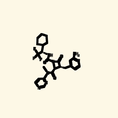 CN(C(=O)[C@@H]1[C@@H](Cc2ccnc(N)c2)C(=O)N1C(=O)N[C@@H](C1CCCCC1)C(F)(F)F)c1ccncn1